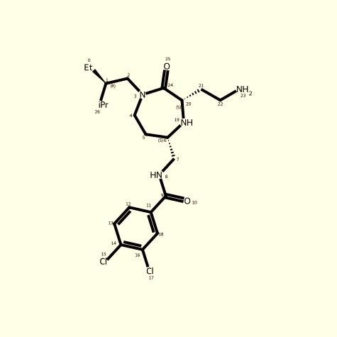 CC[C@@H](CN1CC[C@@H](CNC(=O)c2ccc(Cl)c(Cl)c2)N[C@@H](CCN)C1=O)C(C)C